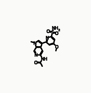 COc1cc(-c2cn(C)c3cnc(NC(C)=O)cc23)nc(S(N)(=O)=O)c1